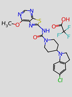 COc1ncnc2sc(NC(=O)N3CCC(N4CCc5cc(Cl)ccc54)CC3)nc12.O=C(O)C(F)(F)F